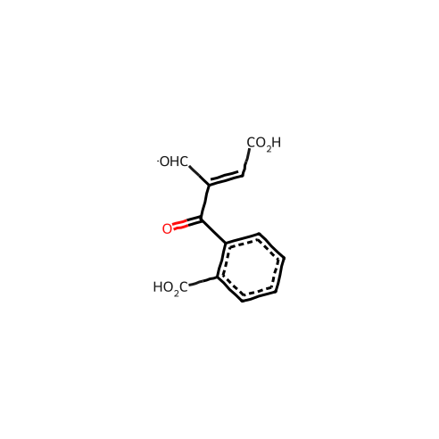 O=[C]C(=CC(=O)O)C(=O)c1ccccc1C(=O)O